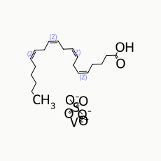 CCCCC/C=C\C/C=C\C/C=C\C/C=C\CCCC(=O)O.O=S(=O)([O-])[O-].[O]=[V+2]